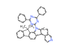 CC1(C)c2ccccc2-c2ccc3c4c5ccncc5ccc4n(-c4nc(-c5ccccc5)nc(-c5ccccc5)n4)c3c21